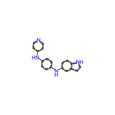 c1cc(Nc2ccc(Nc3ccc4[nH]ccc4c3)cc2)ccn1